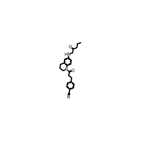 CCCC(=O)CNc1ccc2c(c1)CCCN2C(=O)CCc1ccc(C#N)cc1